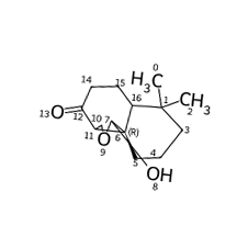 CC1(C)CCC[C@]23C(O)OCC2C(=O)CCC13